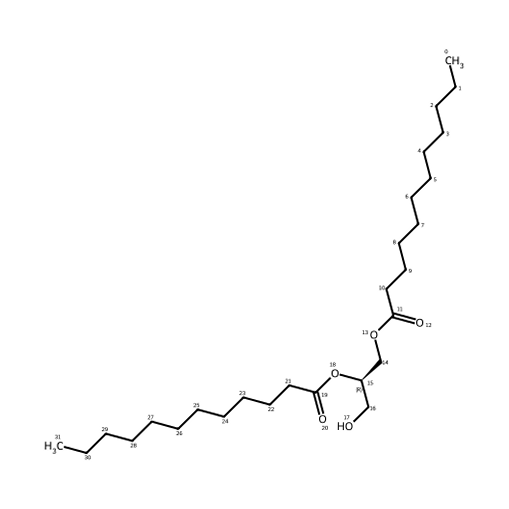 CCCCCCCCCCCC(=O)OC[C@@H](CO)OC(=O)CCCCCCCCCCC